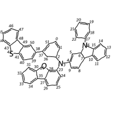 C1=CC(N(C2=CC3C(C=C2)c2ccccc2N3c2ccccc2)c2cccc3c2oc2ccccc23)CC(c2ccc3sc4ccccc4c3c2)=C1